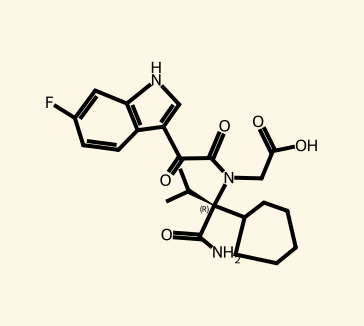 CC(C)[C@](C(N)=O)(C1CCCCC1)N(CC(=O)O)C(=O)C(=O)c1c[nH]c2cc(F)ccc12